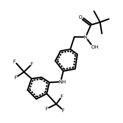 CC(C)(C)C(=O)N(O)Cc1ccc(Nc2cc(C(F)(F)F)ccc2C(F)(F)F)cc1